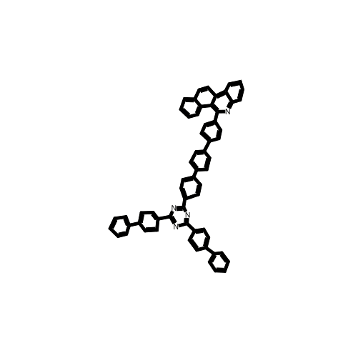 c1ccc(-c2ccc(-c3nc(-c4ccc(-c5ccccc5)cc4)nc(-c4ccc(-c5ccc(-c6ccc(-c7nc8ccccc8c8ccc9ccccc9c78)cc6)cc5)cc4)n3)cc2)cc1